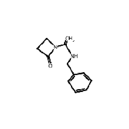 C=C(NCc1ccccc1)N1CCC1=O